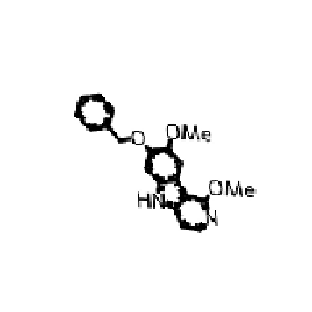 COc1cc2c(cc1OCc1ccccc1)[nH]c1ccnc(OC)c12